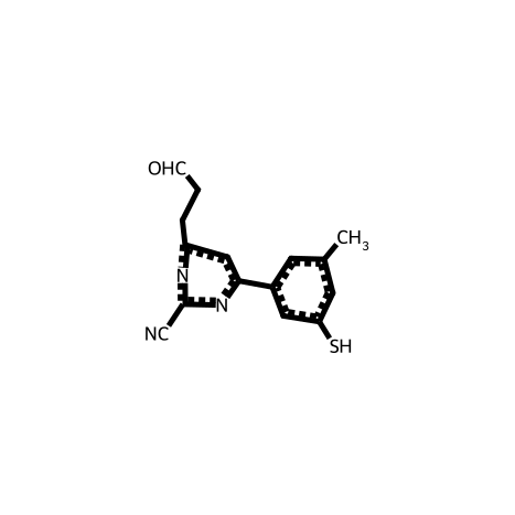 Cc1cc(S)cc(-c2cc(CCC=O)nc(C#N)n2)c1